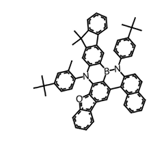 Cc1cc(C(C)(C)C)ccc1N1c2cc3c(cc2B2c4c(cc5c(oc6ccccc65)c41)-c1c(ccc4ccccc14)N2c1ccc(C(C)(C)C)cc1)-c1ccccc1C3(C)C